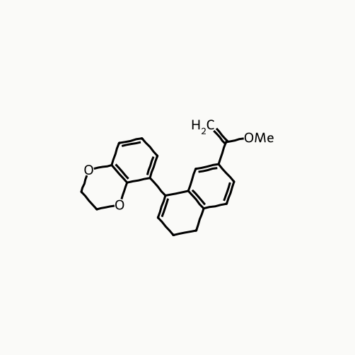 C=C(OC)c1ccc2c(c1)C(c1cccc3c1OCCO3)=CCC2